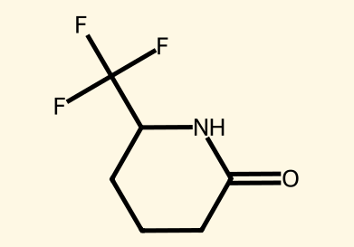 O=C1CCCC(C(F)(F)F)N1